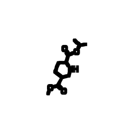 COC(=O)[C@H]1CCC(C(=O)OC(C)C)NC1